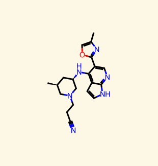 Cc1coc(-c2cnc3[nH]ccc3c2N[C@@H]2C[C@H](C)CN(CCC#N)C2)n1